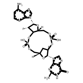 Nc1nc2c(ncn2[C@@H]2O[C@@H]3COP(=O)(O)OC4[C@@H](COP(=O)(O)O[C@H]2C3)O[C@@H](n2cnc3c(N)ccnc32)[C@H]4F)c(=O)[nH]1